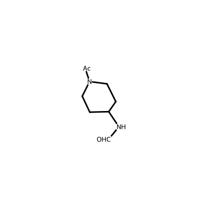 CC(=O)N1CCC(NC=O)CC1